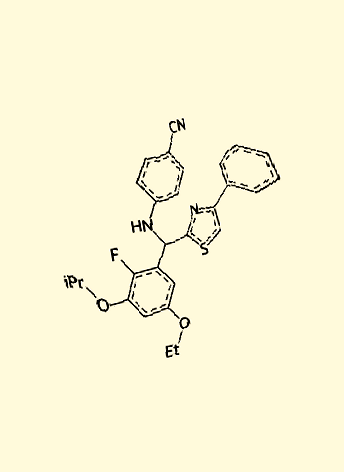 CCOc1cc(OC(C)C)c(F)c(C(Nc2ccc(C#N)cc2)c2nc(-c3ccccc3)cs2)c1